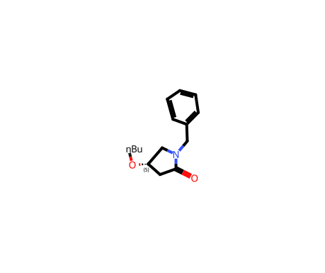 CCCCO[C@H]1CC(=O)N(Cc2ccccc2)C1